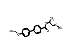 CCCCCCOc1ccc(-c2ccc(C(=O)OC(COCCCC)C(F)(F)F)cc2)cc1